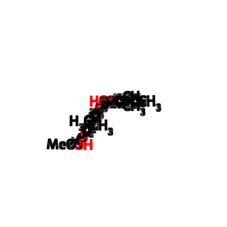 COCC(O)COc1ccc(C(C)(C)c2ccc(OCC(O)COc3ccc(C(C)(C)c4ccc(C)cc4)cc3)cc2)cc1